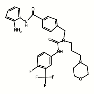 Nc1ccccc1NC(=O)c1ccc(CN(CCCN2CCOCC2)C(=O)Nc2ccc(F)c(C(F)(F)F)c2)cc1